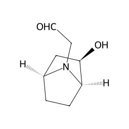 O=CCN1[C@H]2CC[C@@H]1[C@H](O)C2